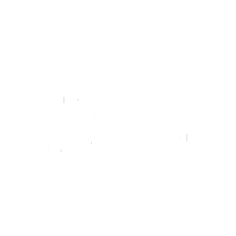 COB(O)c1cccc(Cl)c1Cl